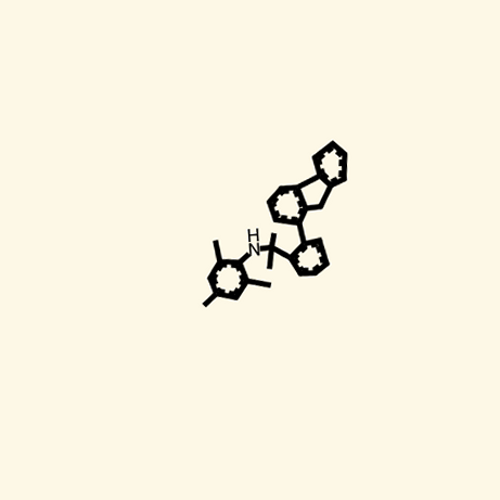 Cc1cc(C)c(NC(C)(C)c2ccccc2-c2cccc3c2Cc2ccccc2-3)c(C)c1